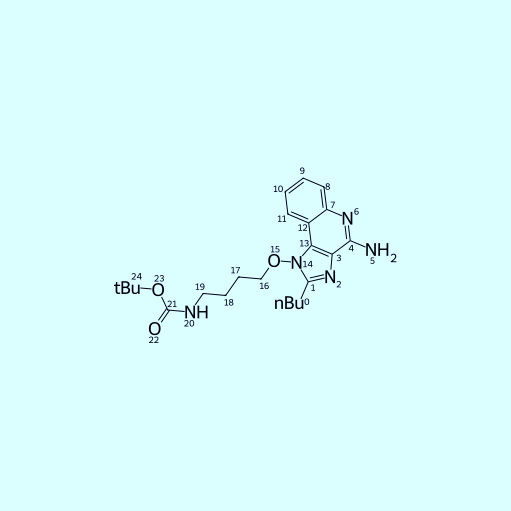 CCCCc1nc2c(N)nc3ccccc3c2n1OCCCCNC(=O)OC(C)(C)C